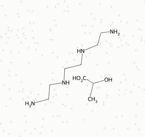 CC(O)C(=O)O.NCCNCCNCCN